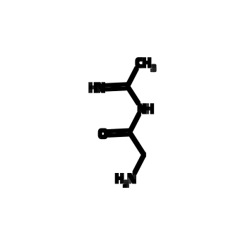 CC(=N)NC(=O)CN